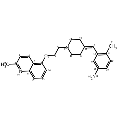 Cc1ccc2c(OCCN3CCC(=Cc4cc(N)ccc4C)CC3)cccc2n1